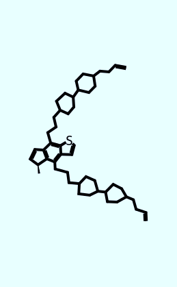 C=CCCC1CCC(C2CCC(CCCc3c4c(c(CCCC5CCC(C6CCC(CCC=C)CC6)CC5)c5sccc35)C=C[C@@H]4C)CC2)CC1